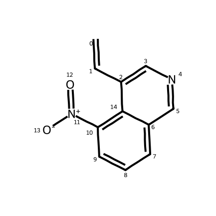 C=Cc1cncc2cccc([N+](=O)[O-])c12